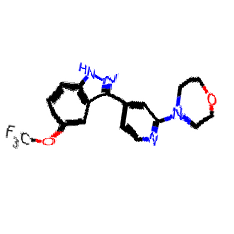 FC(F)(F)Oc1ccc2[nH]nc(-c3ccnc(N4CCOCC4)c3)c2c1